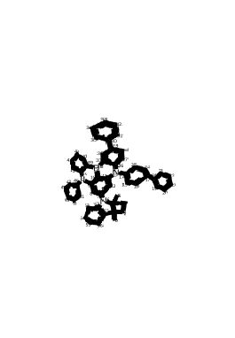 CC12CCC1(C)N(c1cc3c4c(c1)N(c1ccc(-c5ccccc5)cc1)c1ccc(-c5ccccc5)cc1B4c1ccccc1N3c1ccccc1)c1ccccc12